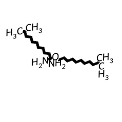 CC(C)CCCCCCCCCOC(N)(N)CCCCCCCCC(C)C